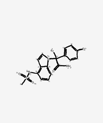 CCC(C(N)=O)(c1ccc(Cl)cc1)n1ccc2c(NS(C)(=O)=O)cccc21